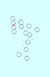 CC1(C)c2cc(N(c3ccccc3)c3ccccc3)ccc2-c2cc3c(cc21)-c1c(cc(N(c2ccccc2)c2cccc(-c4ccc(-c5cccc6ccccc56)c5c(-c6cccc7ccccc67)cccc45)c2)c2ccccc12)C3(C)C